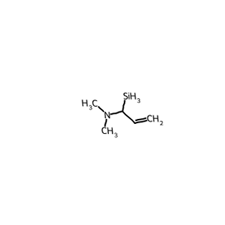 C=CC([SiH3])N(C)C